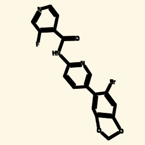 O=C(Nc1ccc(-c2cc3c(cc2Br)OCO3)cn1)c1ccncc1F